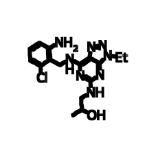 CCn1nnc2c(NCc3c(N)cccc3Cl)nc(NCC(C)O)nc21